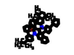 CC(C)(C)c1ccc(N2c3cc4ccccc4c4c3B(c3c2sc2ccccc32)N(c2ccc3c(c2)C(C)(C)CCC3(C)C)c2cc(-c3ccccc3)ccc2-4)c(-c2ccccc2)c1